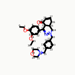 CCOc1ccc(C2=NN(Cc3ccc(CN4CCOCC4)cc3)CC3CC=CC(=O)C23)cc1OCC